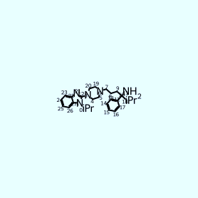 CC(C)n1c(N2CCN(CCCC(N)(c3ccccc3)C(C)C)CC2)nc2ccccc21